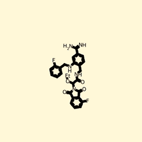 CCOC(C(=O)NCc1ccc(C(=N)N)cc1NCc1ccccc1F)N1C(=O)c2cccc(F)c2C1=O